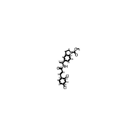 COC(=O)N1CCc2cc(C(C)NC(=O)C=Cc3ccc(Cl)cc3Cl)ccc21